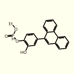 CCO[PH](=O)Oc1ccc(-c2cc3ccccc3c3ccccc23)cc1O